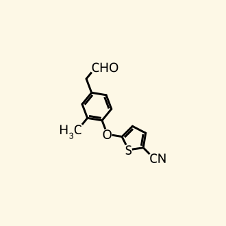 Cc1cc(CC=O)ccc1Oc1ccc(C#N)s1